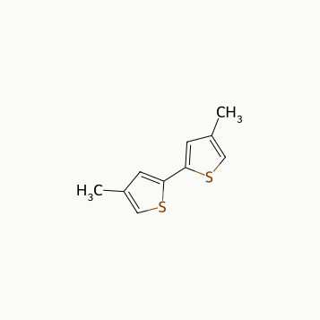 Cc1csc(-c2cc(C)cs2)c1